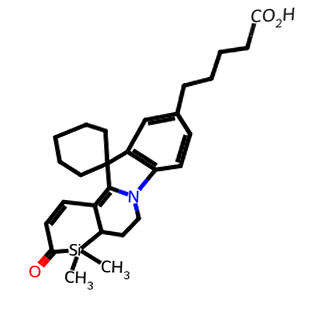 C[Si]1(C)C(=O)C=CC2=C3N(CCC21)c1ccc(CCCCC(=O)O)cc1C31CCCCC1